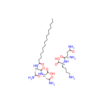 CCCCCCCCCCCCCCCC(=O)N[C@@H](CC(N)=O)C(=O)N[C@@H](CC(N)=O)C(=O)O.NCCCC[C@H](NC(=O)[C@@H](N)CC(N)=O)C(=O)O